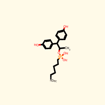 CCCCCCCCCCCCCCC[PH](O)(O)OC(C)C(c1ccc(O)cc1)c1ccc(O)cc1